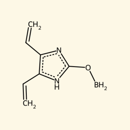 BOc1nc(C=C)c(C=C)[nH]1